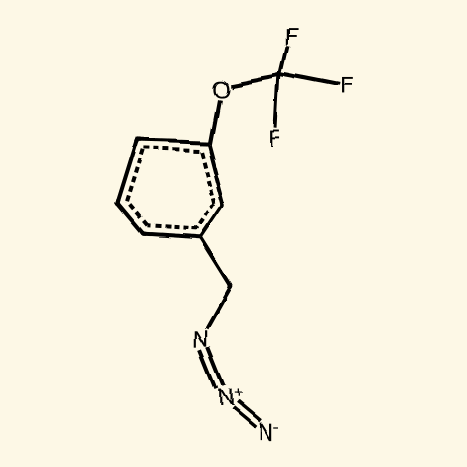 [N-]=[N+]=NCc1cccc(OC(F)(F)F)c1